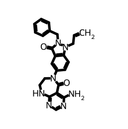 C=CCn1c2ccc(N3CCNc4ncnc(N)c4C3=O)cc2c(=O)n1Cc1ccccc1